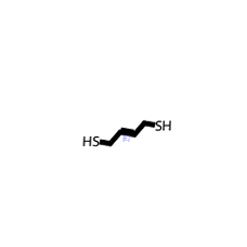 SC/C=C/CS